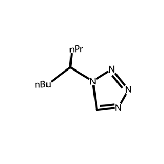 [CH2]CCC(CCCC)n1cnnn1